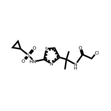 CC(C)(NC(=O)CCl)c1csc(NS(=O)(=O)C2CC2)n1